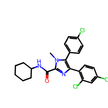 Cn1c(C(=O)NC2CCCCC2)nc(-c2ccc(Cl)cc2Cl)c1-c1ccc(Cl)cc1